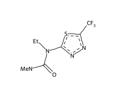 CCN(C(=O)NC)c1nnc(C(F)(F)F)s1